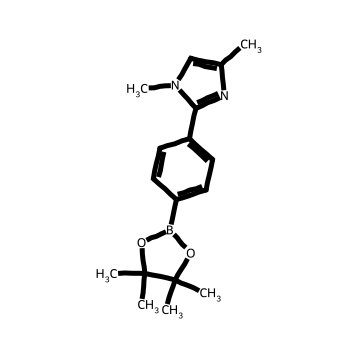 Cc1cn(C)c(-c2ccc(B3OC(C)(C)C(C)(C)O3)cc2)n1